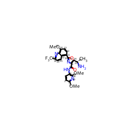 COc1ccc(NC(=O)c2nc(-c3ccc(OC)c4nc(C(F)(F)F)ccc34)oc2[C@H](C)N)c(OC)n1